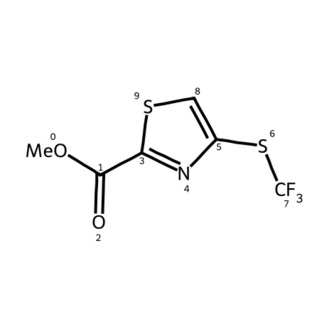 COC(=O)c1nc(SC(F)(F)F)cs1